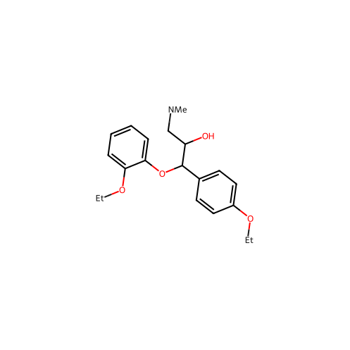 CCOc1ccc(C(Oc2ccccc2OCC)C(O)CNC)cc1